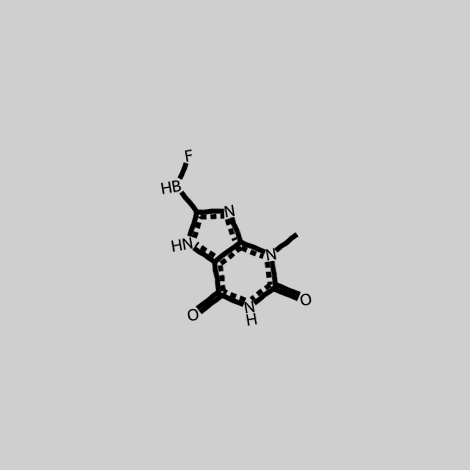 Cn1c(=O)[nH]c(=O)c2[nH]c(BF)nc21